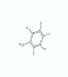 Cc1c(F)c(F)c(I)c(F)c1F